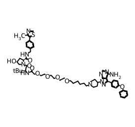 Cc1ncsc1-c1ccc(CNC(=O)[C@@H]2C[C@@H](O)CN2C(=O)[C@@H](NC(=O)COCCOCCOCCOCCCCCCN2CCC(n3nc(-c4ccc(Oc5ccccc5)cc4)c4c(N)ncnc43)CC2)C(C)(C)C)cc1